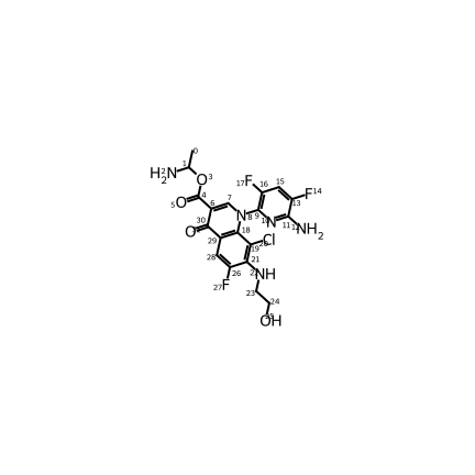 CC(N)OC(=O)c1cn(-c2nc(N)c(F)cc2F)c2c(Cl)c(NCCO)c(F)cc2c1=O